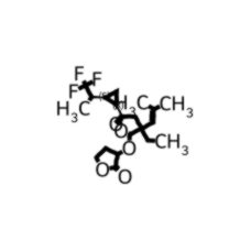 CCC(C=C(C)C)(CC(=O)[C@@H]1C[C@@H]1C(C)C(F)(F)F)C(=O)OC1CCOC1=O